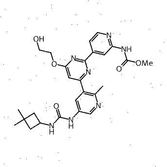 COC(=O)Nc1cc(-c2nc(OCCO)cc(-c3cc(NC(=O)NC4CC(C)(C)C4)cnc3C)n2)ccn1